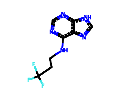 FC(F)(F)CCNc1ncnc2[nH]cnc12